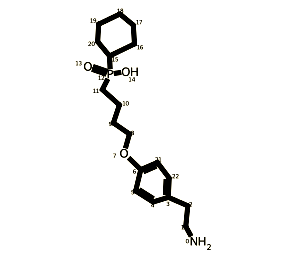 NCCc1ccc(OCCCCP(=O)(O)C2CCCCC2)cc1